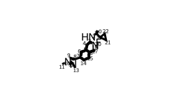 C=C(Nc1cc2cc(-c3cn(C)n3C)ccc2cn1)C1(F)CC1